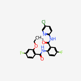 CCOc1cc(F)ccc1C(=O)Nc1ccc(F)cc1C(=O)Nc1ccc(Cl)cn1